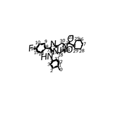 Cc1ccc(Nc2c(-c3ccc(F)cc3)nc3n2CCN(C(=O)C2(O)CCCCC2)C3)cc1